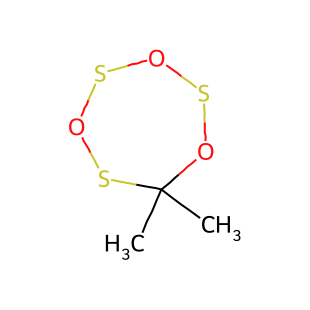 CC1(C)OSOSOS1